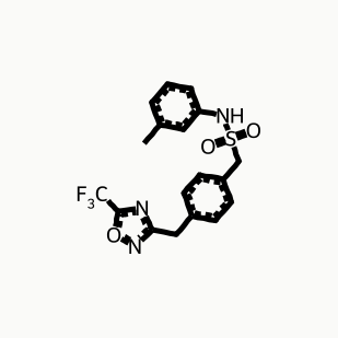 Cc1cccc(NS(=O)(=O)Cc2ccc(Cc3noc(C(F)(F)F)n3)cc2)c1